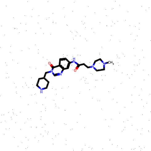 CN1CCN(CCC(=O)Nc2ccc3c(=O)n(CC4CCNCC4)cnc3c2)CC1